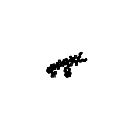 CCCCN(CCCC)C(=O)c1nn(-c2ccc(C(=O)NS(=O)(=O)c3ccc4cccc(C(=O)O)c4c3)cc2C(=O)N2CCc3ccccc3C2)c(C)c1Cl